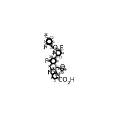 O=C(O)c1ccc2nc(Cc3ccc(-c4ccc(F)c(OCc5ccc(F)cc5F)n4)cc3F)n(CC3CCO3)c2n1